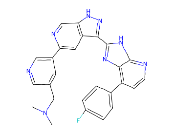 CN(C)Cc1cncc(-c2cc3c(-c4nc5c(-c6ccc(F)cc6)ccnc5[nH]4)n[nH]c3cn2)c1